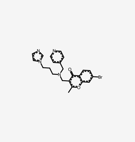 Cc1oc2cc(Br)ccc2c(=O)c1CN(CCCn1ccnc1)Cc1ccncc1